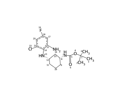 CC(C)(C)OC(=O)N[C@@H]1CCC[C@H](Nc2c(N)cc(F)cc2Cl)C1